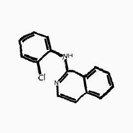 Clc1ccccc1Nc1nccc2ccccc12